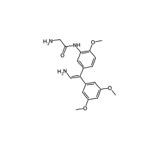 COc1cc(OC)cc(C(=CN)c2ccc(OC)c(NC(=O)CN)c2)c1